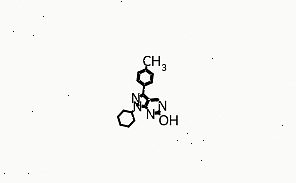 Cc1ccc(-c2nn(C3CCCCC3)c3nc(O)ncc23)cc1